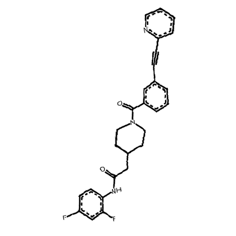 O=C(CC1CCN(C(=O)c2cccc(C#Cc3ccccn3)c2)CC1)Nc1ccc(F)cc1F